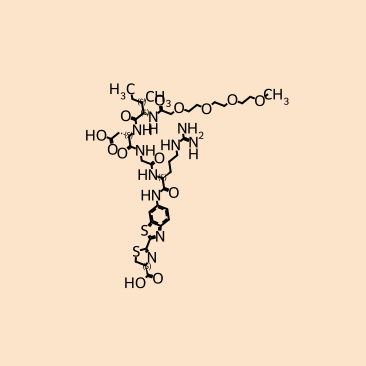 CC[C@H](C)[C@H](NC(=O)COCCOCCOCCOC)C(=O)N[C@@H](CC(=O)O)C(=O)NCC(=O)N[C@@H](CCCNC(=N)N)C(=O)Nc1ccc2nc(C3=N[C@@H](C(=O)O)CS3)sc2c1